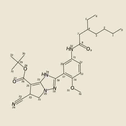 CCCCC(CC)CC(=O)Nc1ccc(OC)c(C2=NN3CC(C#N)C(C(=O)OC(C)(C)C)=C3N2)c1